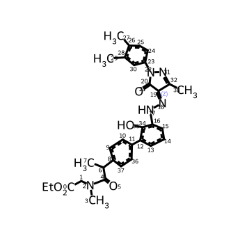 CCOC(=O)CN(C)C(=O)C(C)c1ccc(-c2cccc(N/N=C3\C(=O)N(c4ccc(C)c(C)c4)N=C3C)c2O)cc1